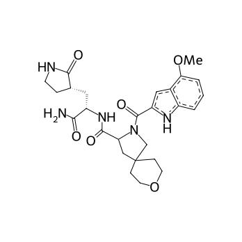 COc1cccc2[nH]c(C(=O)N3CC4(CCOCC4)CC3C(=O)N[C@@H](C[C@@H]3CCNC3=O)C(N)=O)cc12